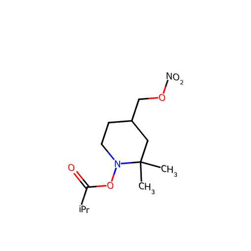 CC(C)C(=O)ON1CCC(CO[N+](=O)[O-])CC1(C)C